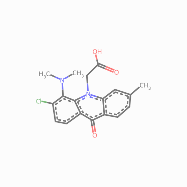 Cc1ccc2c(=O)c3ccc(Cl)c(N(C)C)c3n(CC(=O)O)c2c1